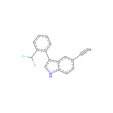 C#Cc1ccc2[nH]cc(-c3ccccc3C(F)F)c2c1